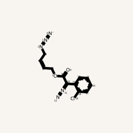 [N-]=[N+]=NC/C=C\COC(=O)C(=[N+]=[N-])c1ccccc1Cl